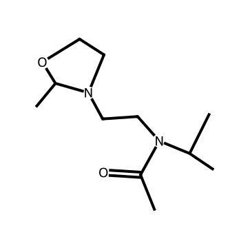 CC(=O)N(CCN1CCOC1C)C(C)C